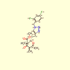 C=C1C(=O)[C@](C)(C(=O)OC)[C@H](CCc2cn(Cc3ccc(F)cc3F)nn2)O[C@@H]1C